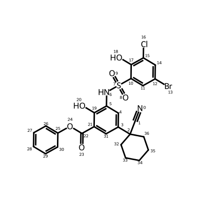 N#CC1(c2cc(NS(=O)(=O)c3cc(Br)cc(Cl)c3O)c(O)c(C(=O)Oc3ccccc3)c2)CCCCC1